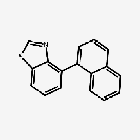 c1ccc2c(-c3cccc4scnc34)cccc2c1